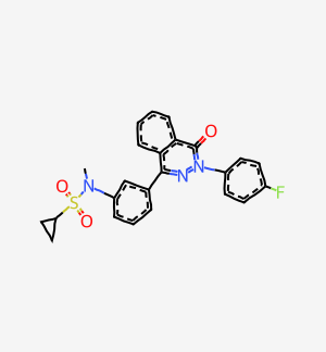 CN(c1cccc(-c2nn(-c3ccc(F)cc3)c(=O)c3ccccc23)c1)S(=O)(=O)C1CC1